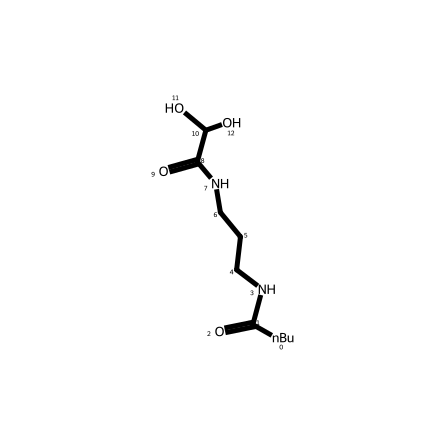 CCCCC(=O)NCCCNC(=O)C(O)O